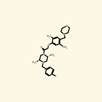 Cc1cc(OCC(=O)N2C[C@H](C)N(Cc3ccc(F)cc3)C[C@H]2C)c(C)cc1CN1CCOCC1